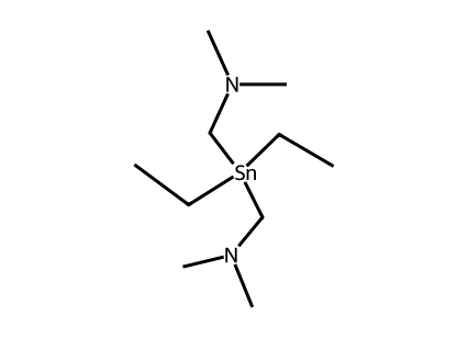 C[CH2][Sn]([CH2]C)([CH2]N(C)C)[CH2]N(C)C